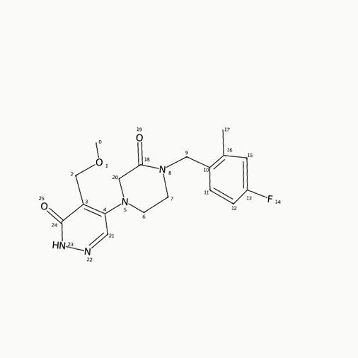 COCc1c(N2CCN(Cc3ccc(F)cc3C)C(=O)C2)cn[nH]c1=O